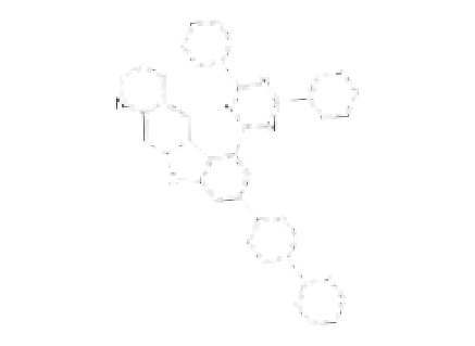 C1=c2cccnc2=CC2Oc3cc(-c4ccc(-c5ccccc5)cc4)cc(-c4nc(-c5ccccc5)nc(-c5ccccc5)n4)c3C12